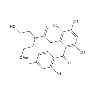 CCc1c(O)cc(O)c(C(=O)c2ccc(C)cc2S)c1CC(=O)N(CCO)CCOC